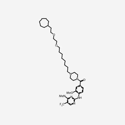 CNc1nc(Nc2ccc(C(=O)N3CCN(CCCCCCCCOCCOCCC4CCCCCC4)CC3)cc2OC)ncc1C(F)(F)F